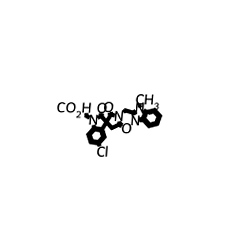 Cn1c(CN2C(=O)CC3(C2=O)C(=O)N(CC(=O)O)c2ccc(Cl)cc23)nc2ccccc21